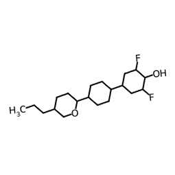 CCCC1CCC(C2CCC(C3CC(F)C(O)C(F)C3)CC2)OC1